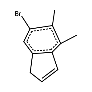 Cc1c(Br)cc2c(c1C)C=CC2